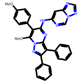 COc1ccc(-c2c(Nc3cc4ncnn4cn3)nc3c(-c4ccccc4)c(-c4ccccc4)nn3c2OC)cc1